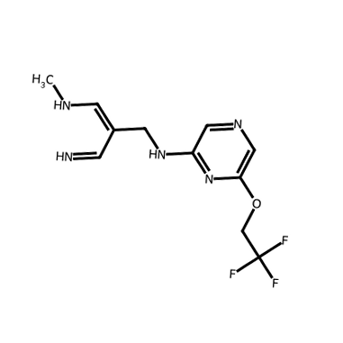 CN/C=C(\C=N)CNc1cncc(OCC(F)(F)F)n1